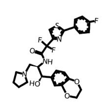 O=C(N[C@H](CN1CCCC1)[C@H](O)c1ccc2c(c1)OCCO2)C(F)(F)c1csc(-c2ccc(F)cc2)n1